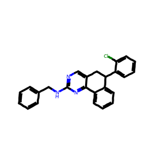 Clc1ccccc1C1Cc2cnc(NCc3ccccc3)nc2-c2ccccc21